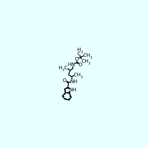 CC(CNC(=O)OC(C)(C)C)CC(C)NC(=O)c1cc2ccccc2[nH]1